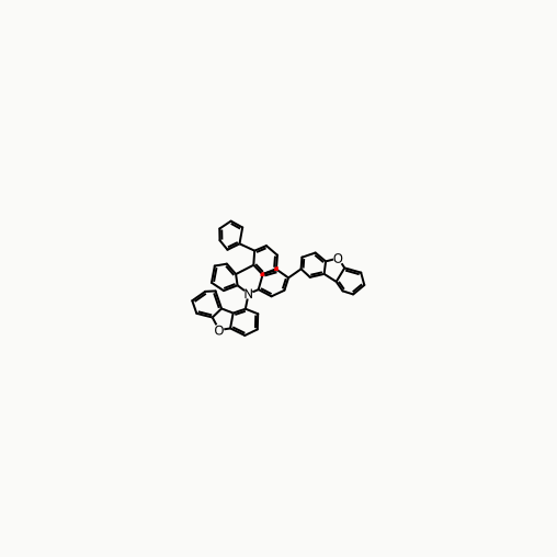 c1ccc(-c2ccccc2-c2ccccc2N(c2ccc(-c3ccc4oc5ccccc5c4c3)cc2)c2cccc3oc4ccccc4c23)cc1